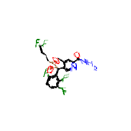 Cc1cc(C(N)=O)ncc1C(c1c(F)ccc(F)c1F)S(=O)(=O)CCC=C(F)F